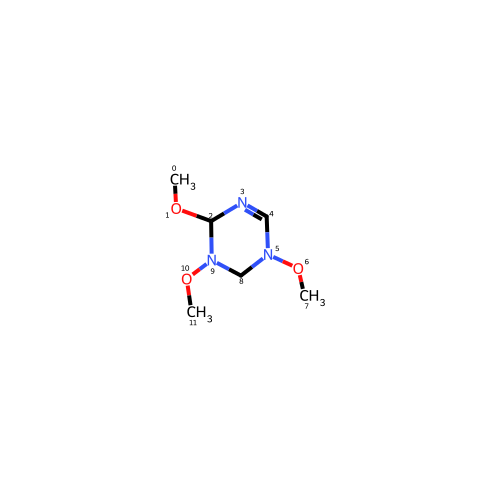 COC1N=CN(OC)CN1OC